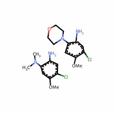 COc1cc(N(C)C)c(N)cc1Cl.COc1cc(N2CCOCC2)c(N)cc1Cl